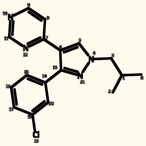 CC(C)Cn1cc(-c2ccncn2)c(-c2cccc(Cl)c2)n1